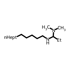 CCCCCCCCCCCCNC(CC)N(C)C